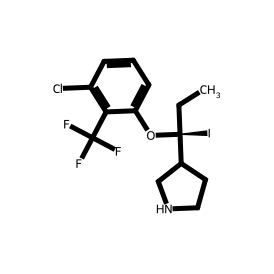 CC[C@@](I)(Oc1cccc(Cl)c1C(F)(F)F)C1CCNC1